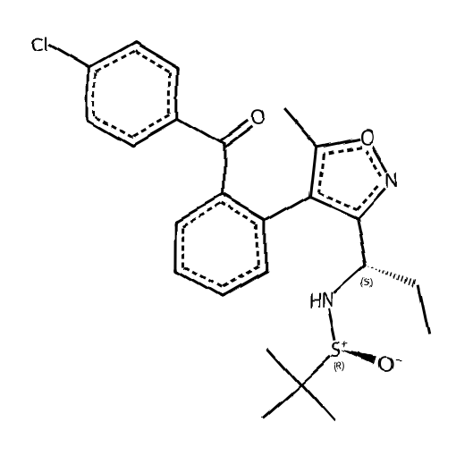 CC[C@H](N[S@@+]([O-])C(C)(C)C)c1noc(C)c1-c1ccccc1C(=O)c1ccc(Cl)cc1